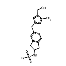 CC(C)S(=O)(=O)NC1Cc2ccc(Cn3cc(CO)c(C(F)(F)F)c3)cc2C1